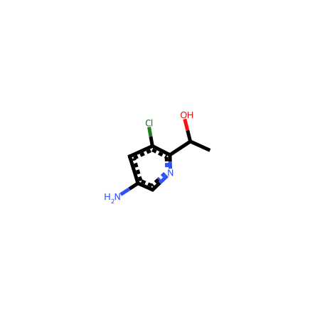 CC(O)c1ncc(N)cc1Cl